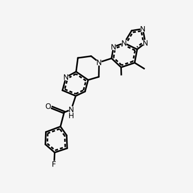 Cc1c(N2CCc3ncc(NC(=O)c4ccc(F)cc4)cc3C2)nn2cnnc2c1C